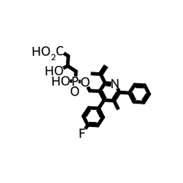 C=C(C)c1nc(-c2ccccc2)c(C)c(-c2ccc(F)cc2)c1COP(=O)(O)CC(O)CC(=O)O